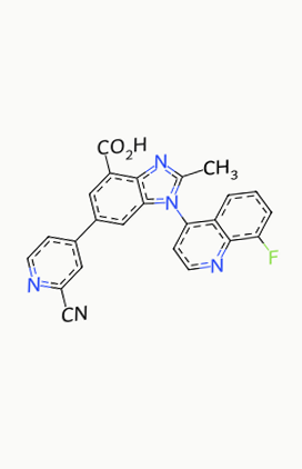 Cc1nc2c(C(=O)O)cc(-c3ccnc(C#N)c3)cc2n1-c1ccnc2c(F)cccc12